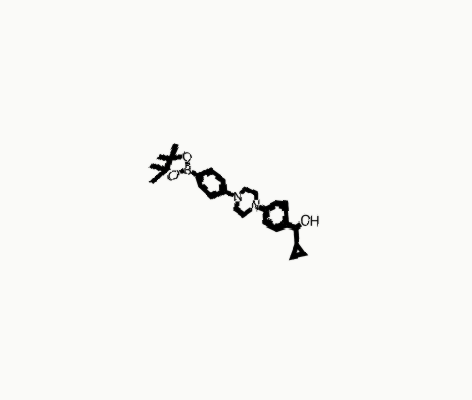 CC1(C)OB(c2ccc(N3CCN(c4ccc(C(O)C5CC5)cc4)CC3)cc2)OC1(C)C